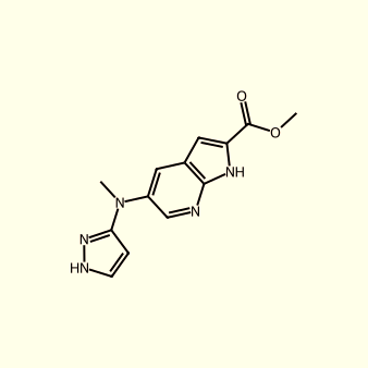 COC(=O)c1cc2cc(N(C)c3cc[nH]n3)cnc2[nH]1